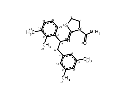 CC(=O)N1CCSC1=NC(Cc1cc(C)cc(C)c1)c1cccc(C)c1C